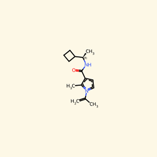 C=C(C)n1ccc(C(=O)N[C@H](C)C2CCC2)c1C